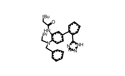 CC(C)CN(Cc1ccccc1)c1ccc(-c2ccccc2-c2nnn[nH]2)cc1NC(=O)CC(C)(C)C